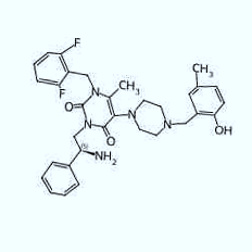 Cc1ccc(O)c(CN2CCN(c3c(C)n(Cc4c(F)cccc4F)c(=O)n(C[C@@H](N)c4ccccc4)c3=O)CC2)c1